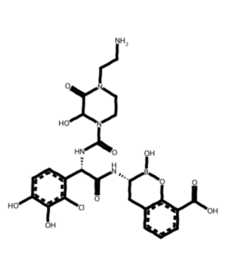 NCCN1CCN(C(=O)N[C@H](C(=O)N[C@H]2Cc3cccc(C(=O)O)c3OB2O)c2ccc(O)c(O)c2Cl)C(O)C1=O